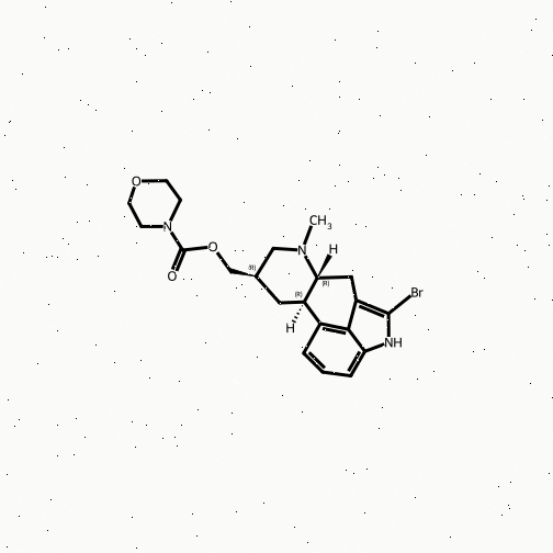 CN1C[C@H](COC(=O)N2CCOCC2)C[C@@H]2c3cccc4[nH]c(Br)c(c34)C[C@H]21